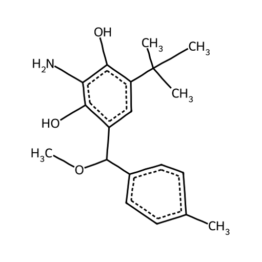 COC(c1ccc(C)cc1)c1cc(C(C)(C)C)c(O)c(N)c1O